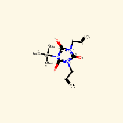 C=CCn1c(=O)n(CC=C)c(=O)n([Si](OC)(OC)OC)c1=O